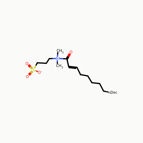 CCCCCCCCCCCCCCCC=CC(=O)[N+](C)(C)CCCS(=O)(=O)[O-]